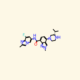 Cc1cn2cc(NC(=O)c3ccc(N4CCN[C@@H](C(C)C)C4)c4cn(C)nc34)cc(F)c2n1